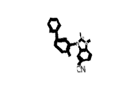 Cc1ccc(-c2ccccc2)cc1N1c2cc(C#N)ccc2N(C)[C@@H]1C